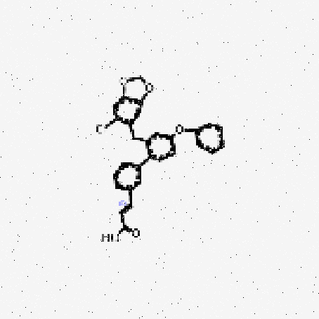 O=C(O)/C=C/c1cccc(-c2ccc(Oc3ccccc3)cc2Cc2cc3c(cc2Cl)OCO3)c1